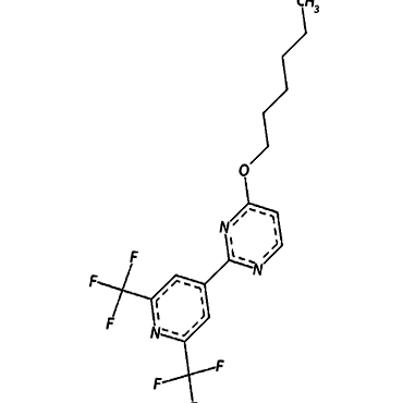 CCCCCCOc1ccnc(-c2cc(C(F)(F)F)nc(C(F)(F)F)c2)n1